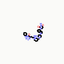 N/C(=C\C=C(/N)N1CCCC(CN2CCC(n3ccc4c(N5CCC(=O)NC5=O)cccc43)CC2)C1)C(=O)NC1CCCCC1